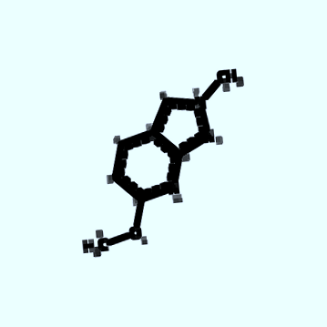 COc1ccc2cn(C)nc2n1